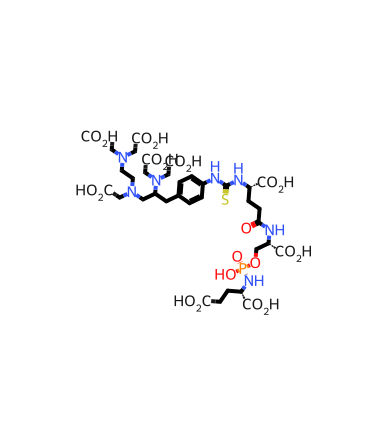 O=C(O)CC[C@H](NP(=O)(O)OC[C@H](NC(=O)CC[C@H](NC(=S)Nc1ccc(CC(CN(CCN(CC(=O)O)CC(=O)O)CC(=O)O)N(CC(=O)O)CC(=O)O)cc1)C(=O)O)C(=O)O)C(=O)O